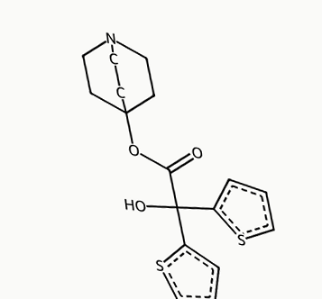 O=C(OC12CCN(CC1)CC2)C(O)(c1cccs1)c1cccs1